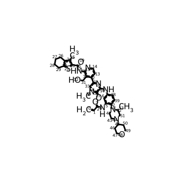 C=CC(=O)Nc1cc(Nc2nc(-c3ccnc(NC(=O)c4sc5c(c4C)CCCC5)c3CO)cn(C)c2=O)ccc1N1CCN(C2CCOCC2)C[C@@H]1C